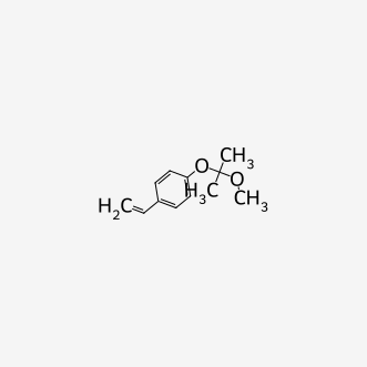 C=Cc1ccc(OC(C)(C)OC)cc1